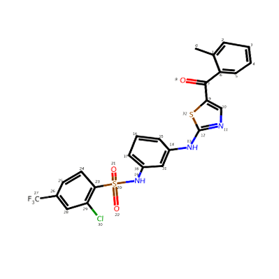 Cc1ccccc1C(=O)c1cnc(Nc2cccc(NS(=O)(=O)c3ccc(C(F)(F)F)cc3Cl)c2)s1